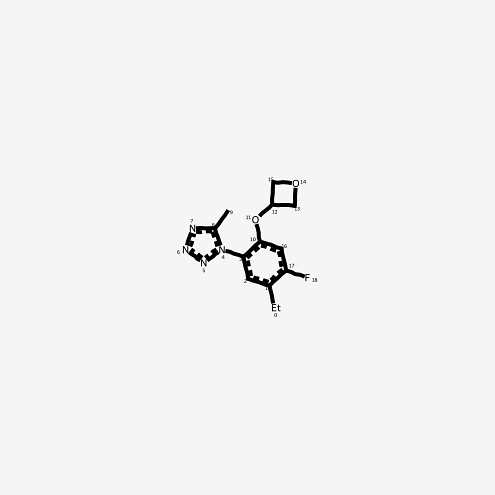 CCc1cc(-n2nnnc2C)c(OC2COC2)cc1F